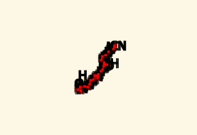 N#Cc1ccc(N2CCC(N3CCCC(c4nc5cc([N+]#Cc6ccc(N7CCC(N8CCC(c9nc%10ccccc%10c(=O)[nH]9)C8)CC7)cn6)ccc5c(=O)[nH]4)C3)CC2)cn1